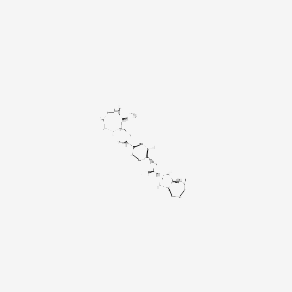 CN1CCCCC(NC(=O)c2ccc(NC(=O)N3Cc4cccnc4C3)cc2)C1=O